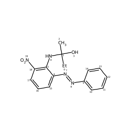 CCC(C)(O)Nc1c(N=Nc2ccccc2)cccc1[N+](=O)[O-]